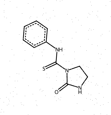 O=C1NCCN1C(=S)Nc1ccccc1